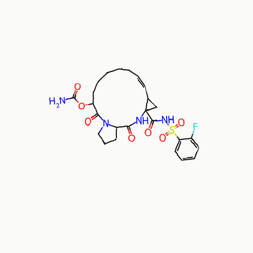 NC(=O)OC1CCCCCC=CC2CC2(C(=O)NS(=O)(=O)c2ccccc2F)NC(=O)C2CCCN2C1=O